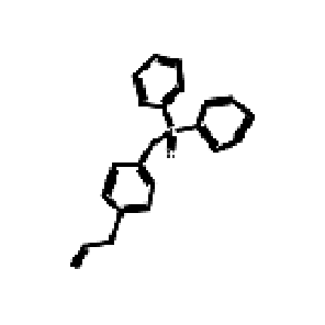 C=CCc1ccc(CP(=O)(c2ccccc2)c2ccccc2)cc1